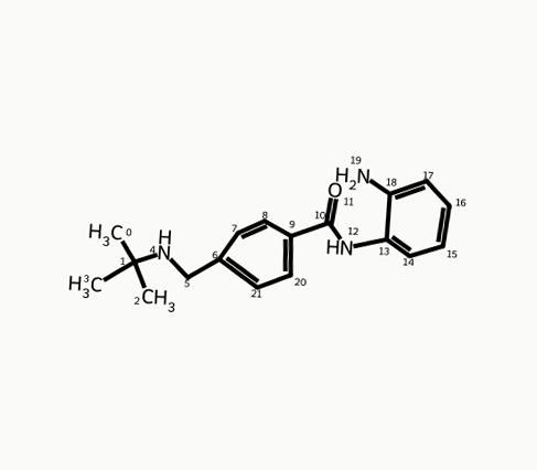 CC(C)(C)NCc1ccc(C(=O)Nc2ccccc2N)cc1